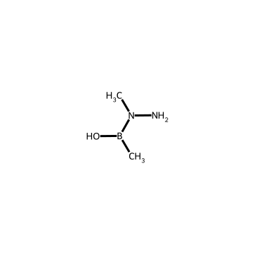 CB(O)N(C)N